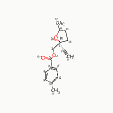 C#C[C@@]1(COC(=O)c2ccc(C)cc2)CCC(OC(C)=O)O1